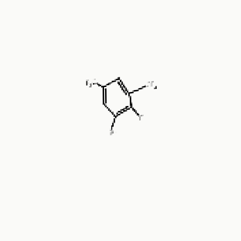 CC(C)c1cc(C(F)(F)F)cc(C(F)(F)F)c1F